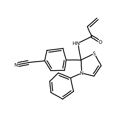 C=CC(=O)NC1(c2ccc(C#N)cc2)SC=CN1c1ccccc1